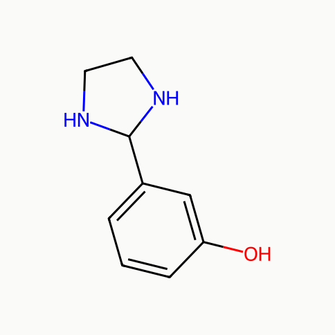 Oc1cccc(C2NCCN2)c1